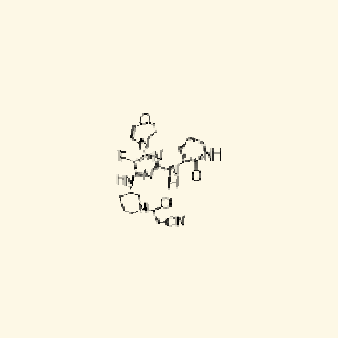 N#CCC(=O)N1CCC[C@@H](Nc2nc(Nc3ccc[nH]c3=O)nc(N3CCOCC3)c2F)C1